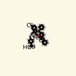 O=C(O)c1ccc(CNCc2c(CCNS(=O)(=O)Cc3ccccc3)n(C(c3ccccc3)c3ccccc3)c3ccc(Cl)cc23)cc1